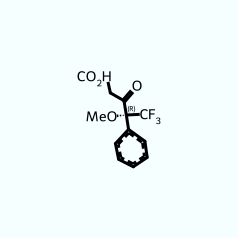 CO[C@@](C(=O)CC(=O)O)(c1ccccc1)C(F)(F)F